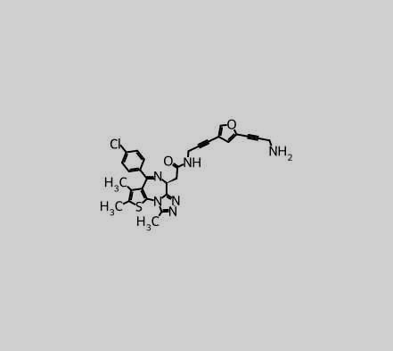 Cc1sc2c(c1C)C(c1ccc(Cl)cc1)=N[C@@H](CC(=O)NCC#Cc1coc(C#CCN)c1)c1nnc(C)n1-2